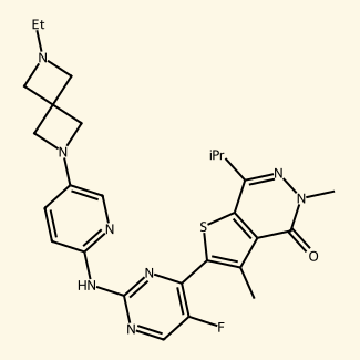 CCN1CC2(C1)CN(c1ccc(Nc3ncc(F)c(-c4sc5c(C(C)C)nn(C)c(=O)c5c4C)n3)nc1)C2